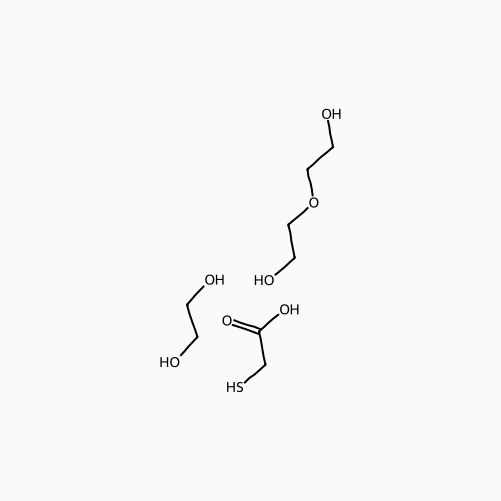 O=C(O)CS.OCCO.OCCOCCO